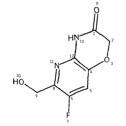 O=C1COc2cc(F)c(CO)nc2N1